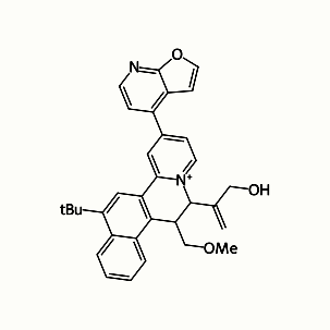 C=C(CO)C1C(COC)c2c(cc(C(C)(C)C)c3ccccc23)-c2cc(-c3ccnc4occc34)cc[n+]21